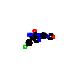 O=CC1NC=C(c2ccc(Cl)cc2)c2ccnc(Nc3ccc(N4CCOCC4)cc3)c21